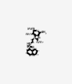 CNc1nc(N)c2nc(NC)n(CCNS(=O)(=O)c3cccc4ccccc34)c2c1NC